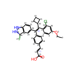 CCOc1ccc(/C(=C(\c2ccc(/C=C/C(=O)O)cc2)c2ccc3c(c2)C(F)NN3)C2CCC2)c(Cl)c1